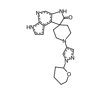 O=C1Nc2cnc3[nH]ccc3c2C12CCN(c1cnn(C3CCCCO3)c1)CC2